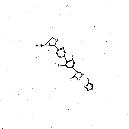 NC1C2COC(c3ccc(-c4c(F)cc(N5C[C@H](Cn6ccnn6)OC5=O)cc4F)cn3)C12